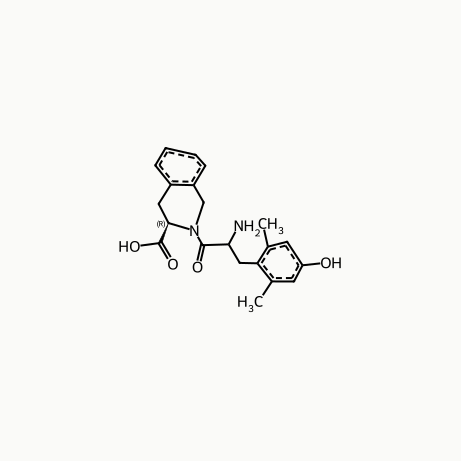 Cc1cc(O)cc(C)c1CC(N)C(=O)N1Cc2ccccc2C[C@@H]1C(=O)O